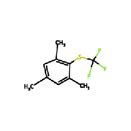 Cc1cc(C)c(SC(F)(F)F)c(C)c1